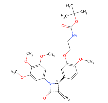 C=C1C(=O)N(c2cc(OC)c(OC)c(OC)c2)[C@H]1c1ccc(OC)c(OCCNC(=O)OC(C)(C)C)c1